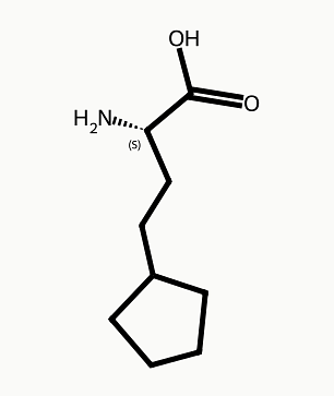 N[C@@H](CCC1CCCC1)C(=O)O